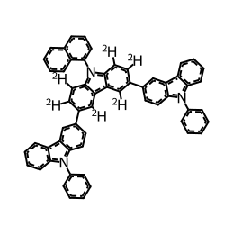 [2H]c1c(-c2ccc3c(c2)c2ccccc2n3-c2ccccc2)c([2H])c2c3c([2H])c(-c4ccc5c(c4)c4ccccc4n5-c4ccccc4)c([2H])c([2H])c3n(-c3cccc4ccccc34)c2c1[2H]